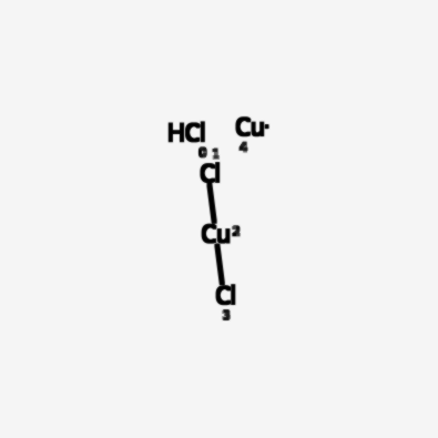 Cl.[Cl][Cu][Cl].[Cu]